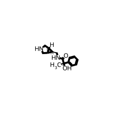 C[C@@](O)(C(=O)NC[C@H]1C2CNC[C@@H]21)c1ccccc1